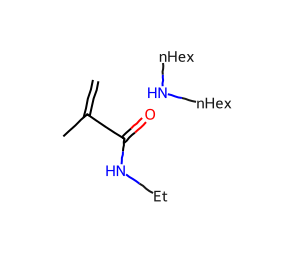 C=C(C)C(=O)NCC.CCCCCCNCCCCCC